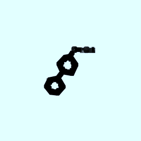 CCCCCCCCOc1ccc(-c2[c]cccc2)cc1